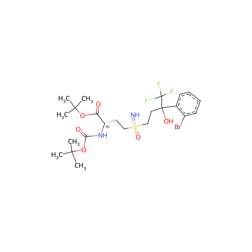 CC(C)(C)OC(=O)N[C@@H](CCS(=N)(=O)CCC(O)(c1ccccc1Br)C(F)(F)F)C(=O)OC(C)(C)C